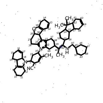 CC1=CC(C#N)C(N2C3=C(CCCC3)C3CCC=CC32)CC1n1c2c(c3c1CCC1OC4=C(C=CCC4)C31)CCC(/C(C)=C(/NCC1CCCCC1)C1CCC3C(C1)C1CC=CCC1C3(C)C)C2